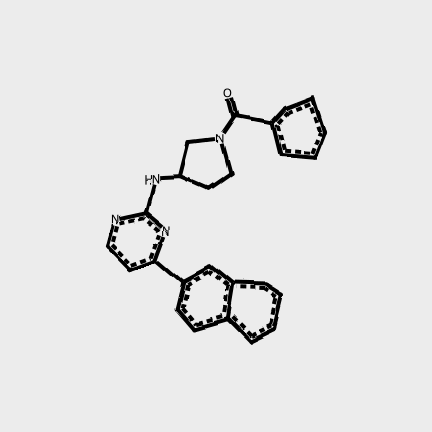 O=C(c1ccccc1)N1CCC(Nc2nccc(-c3ccc4ccccc4c3)n2)C1